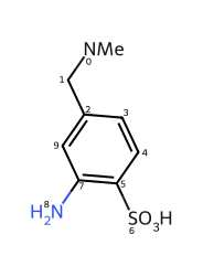 CNCc1ccc(S(=O)(=O)O)c(N)c1